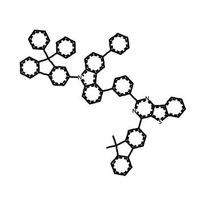 CC1(C)c2ccccc2-c2ccc(-c3nc(-c4cccc(-c5cccc6c5c5cc(-c7ccccc7)ccc5n6-c5ccc6c(c5)C(c5ccccc5)(c5ccccc5)c5ccccc5-6)c4)nc4c3sc3ccccc34)cc21